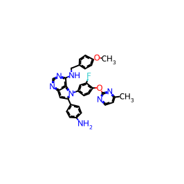 COc1ccc(CNc2ncnc3cc(-c4ccc(N)cc4)n(-c4ccc(Oc5nccc(C)n5)c(F)c4)c23)cc1